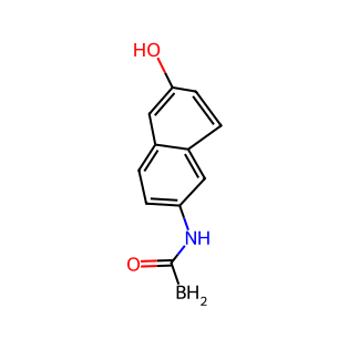 BC(=O)Nc1ccc2cc(O)ccc2c1